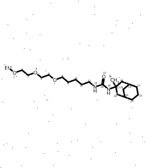 CCOCCOCCOCCCCCNC(=O)NC1(C)CC2CCCC(C2)C1